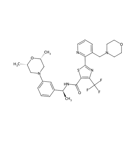 C[C@@H]1CN(c2cccc([C@H](C)NC(=O)c3sc(-c4ncccc4CN4CCOCC4)nc3C(F)(F)F)c2)C[C@H](C)O1